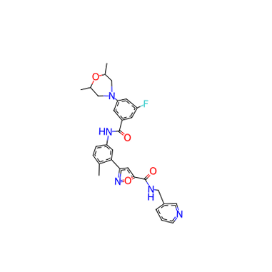 Cc1ccc(NC(=O)c2cc(F)cc(N3CC(C)OC(C)C3)c2)cc1-c1cc(C(=O)NCc2cccnc2)on1